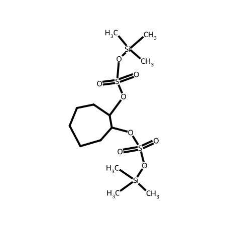 C[Si](C)(C)OS(=O)(=O)OC1CCCCCC1OS(=O)(=O)O[Si](C)(C)C